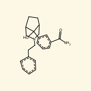 NC(=O)c1cccc(C2(O)C3CCC2CN(CCc2ccccc2)C3)c1